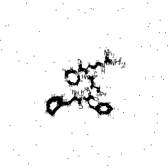 CC(C)C[C@@H](NC(=O)[C@@H](Cc1ccccc1)NC(=O)[C@H](N)Cc1ccccc1)C(=O)N[C@H](CCCNC(N)N)C(=O)N1CCCSCC1